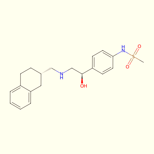 CS(=O)(=O)Nc1ccc([C@@H](O)CNC[C@H]2CCc3ccccc3C2)cc1